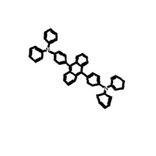 C1=CCC(N(C2=CCCC=C2)C2=CC=C(c3c4ccccc4c(-c4ccc(N(c5ccccc5)c5ccccc5)cc4)c4ccccc34)CC2)C=C1